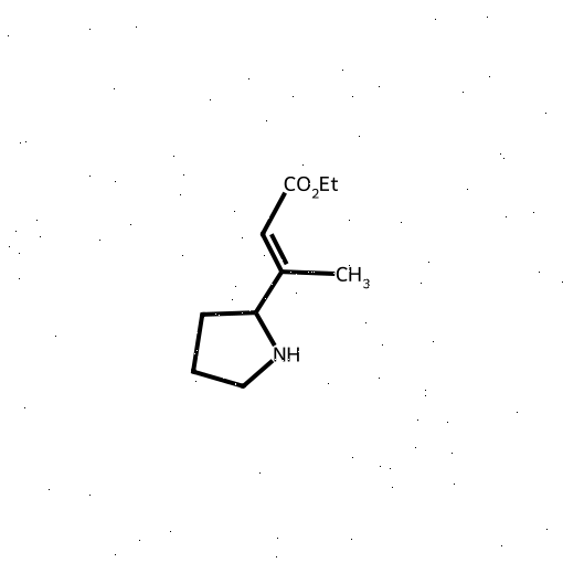 CCOC(=O)C=C(C)C1CCCN1